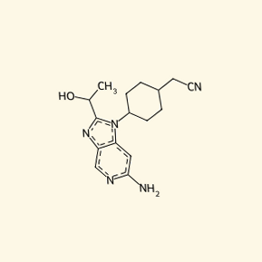 CC(O)c1nc2cnc(N)cc2n1C1CCC(CC#N)CC1